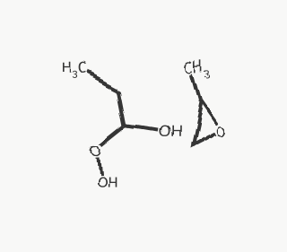 CC1CO1.CCC(O)OO